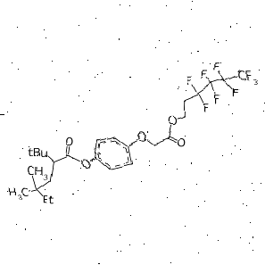 CCC(C)(C)CC(C(=O)Oc1ccc(OCC(=O)OCCC(F)(F)C(F)(F)C(F)(F)C(F)(F)F)cc1)C(C)(C)C